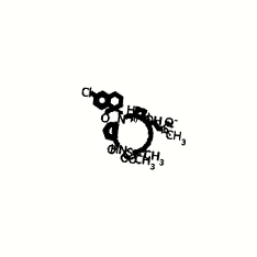 C[C@@H]1[C@@H](C)CCC[C@](O)(CC[S@@+](C)[O-])[C@@H]2CC[C@H]2CN2C[C@@]3(CCCc4cc(Cl)ccc43)COc3ccc(cc32)C(=O)NS1(=O)=O